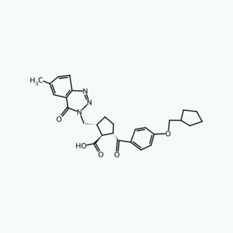 Cc1ccc2nnn(C[C@@H]3CC[C@H](C(=O)c4ccc(OCC5CCCC5)cc4)[C@H]3C(=O)O)c(=O)c2c1